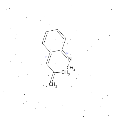 C=C(C)/C=C1/C=CC=C/C1=N/C